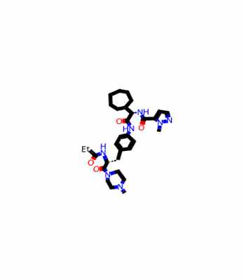 CCC(=O)N[C@H](Cc1ccc(NC(=O)[C@@H](NC(=O)c2ccnn2C)C2CCCCCC2)cc1)C(=O)N1CCN(C)CC1